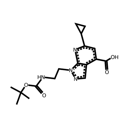 CC(C)(C)OC(=O)NCCn1ncc2c(C(=O)O)cc(C3CC3)nc21